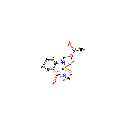 CC(C)C(=O)OCN1c2ccccc2C(=O)N(C(C)C)S1(=O)=O